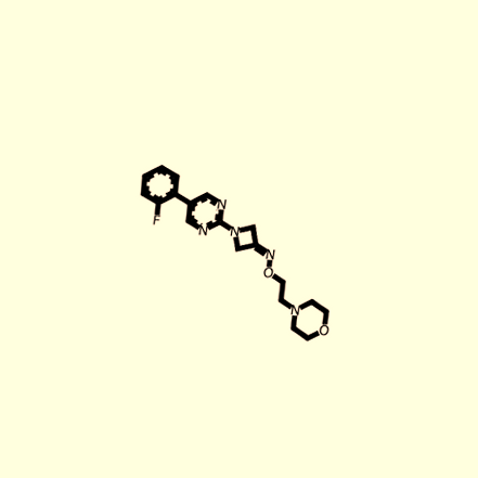 Fc1ccccc1-c1cnc(N2CC(=NOCCN3CCOCC3)C2)nc1